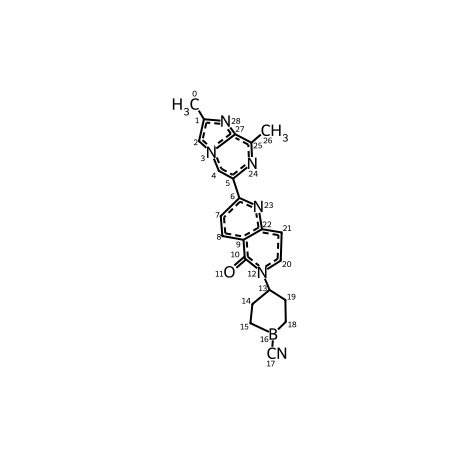 Cc1cn2cc(-c3ccc4c(=O)n(C5CCB(C#N)CC5)ccc4n3)nc(C)c2n1